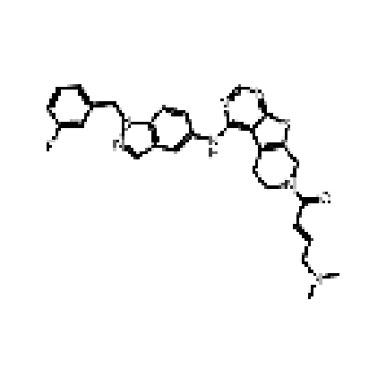 CN(C)C/C=C/C(=O)N1CCc2c(sc3ncnc(Nc4ccc5c(cnn5Cc5cccc(F)c5)c4)c23)C1